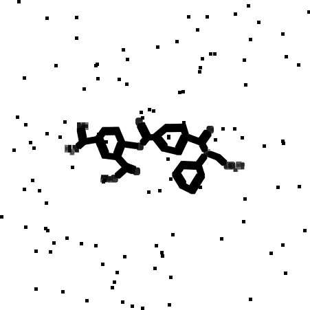 CCOC(=O)CN(C(=O)c1ccc(C(=O)Oc2ccc(C(=N)N)cc2C(=O)OC)cc1)c1ccccc1